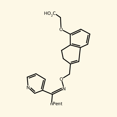 CCCCCC(=NOCC1=Cc2cccc(OCC(=O)O)c2CC1)c1cccnc1